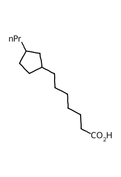 CCCC1CCC(CCCCCCC(=O)O)C1